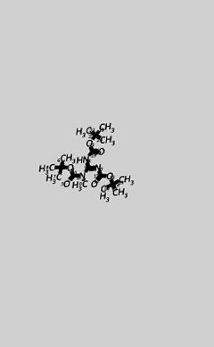 CN(C(=O)OC(C)(C)C)C(=NC(=O)OC(C)(C)C)NC(=O)OC(C)(C)C